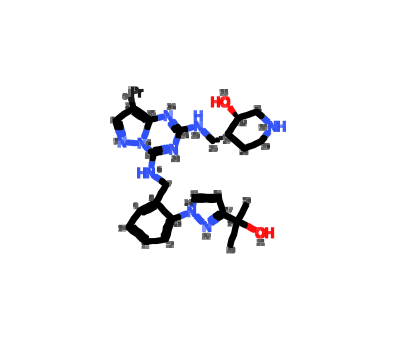 CC(C)c1cnn2c(NCc3ccccc3-n3ccc(C(C)(C)O)n3)nc(NC[C@H]3CCNC[C@@H]3O)nc12